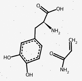 C=CC(N)=O.N[C@@H](Cc1ccc(O)c(O)c1)C(=O)O